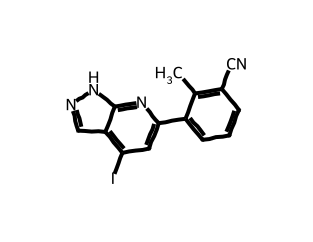 Cc1c(C#N)cccc1-c1cc(I)c2cn[nH]c2n1